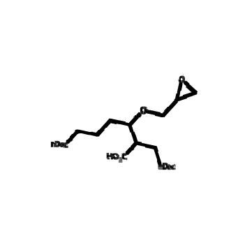 CCCCCCCCCCCCCC(OCC1CO1)C(CCCCCCCCCCC)C(=O)O